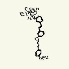 CCCCc1ccc(CCCCOc2cccc(C=Cc3cccc(NC(=O)CC(CC)(CC)C(=O)O)c3)c2)cc1